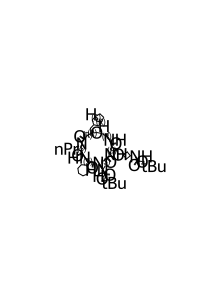 CCC[C@H]1C(=O)N[C@@H](C2CCCCCC2)C(=O)N[C@@H](CNC(=O)OC(C)(C)C)C(=O)N[C@@H](CO[C@H]2C[C@H](NC(=O)OC(C)(C)C)C2)C(=O)N[C@H](C)CO[C@H](CC2C[C@H]3CC[C@@H](C2)C3)[C@@H](C)C(=O)N1C